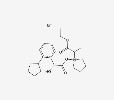 CCOC(=O)C(C)[N+]1(OC(=O)[C@H](O)c2ccccc2C2CCCC2)CCCC1.[Br-]